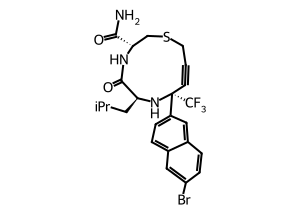 CC(C)C[C@@H]1N[C@@](c2ccc3cc(Br)ccc3c2)(C(F)(F)F)C#CCSC[C@@H](C(N)=O)NC1=O